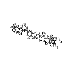 Cc1ncc(C(=O)NCc2cc3nc(-c4cccc(N5CC6(CC6)OCC5=O)n4)ccc3cn2)cc1S(C)(=O)=O